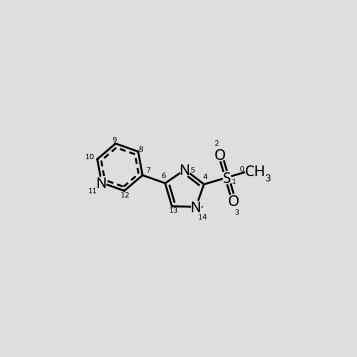 CS(=O)(=O)C1=NC(c2cccnc2)=C[N]1